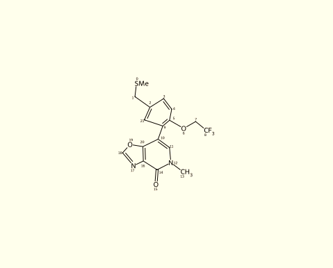 CSCc1ccc(OCC(F)(F)F)c(-c2cn(C)c(=O)c3ncoc23)c1